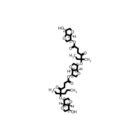 CCCC(CC)(O[C@@H]1CO[C@H]2[C@@H]1OC[C@@H]2O)C(=O)CCC(=O)O[C@@H]1CO[C@H]2[C@@H]1OC[C@@H]2OC(C)(CC)C(=O)CCC(=O)O[C@H]1COC2[C@H](O)CO[C@H]21